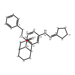 O=C(OCc1ccccc1)N1C2CCCC1c1cc(NN=C3CCCC3)nnc1C2